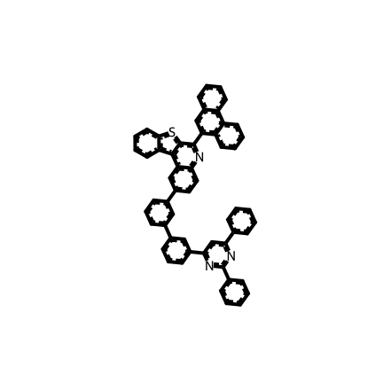 c1ccc(-c2cc(-c3cccc(-c4cccc(-c5ccc6nc(-c7cc8ccccc8c8ccccc78)c7sc8ccccc8c7c6c5)c4)c3)nc(-c3ccccc3)n2)cc1